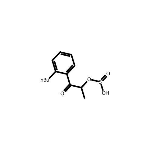 CCCCc1ccccc1C(=O)C(C)OS(=O)O